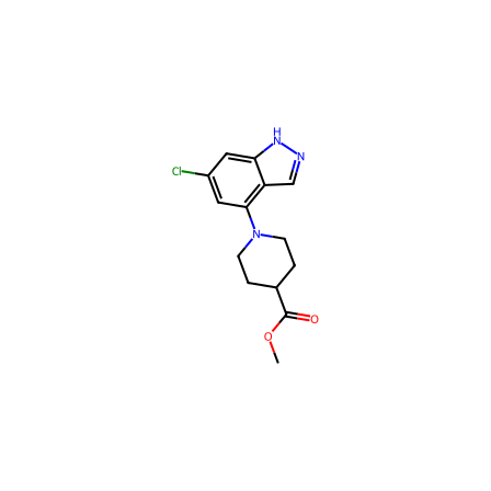 COC(=O)C1CCN(c2cc(Cl)cc3[nH]ncc23)CC1